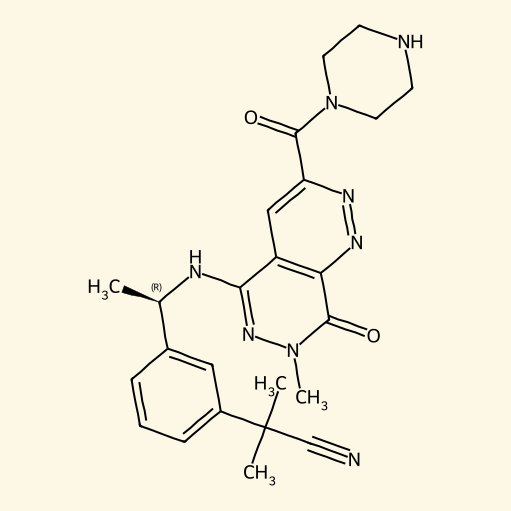 C[C@@H](Nc1nn(C)c(=O)c2nnc(C(=O)N3CCNCC3)cc12)c1cccc(C(C)(C)C#N)c1